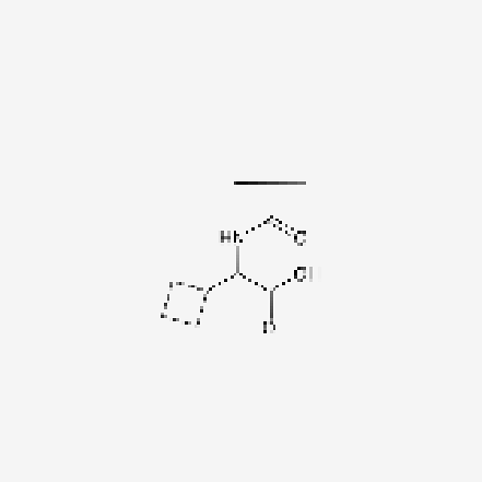 CC(C)(C)C(=O)NC(C(=O)O)C1CCC1